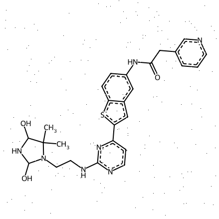 CC1(C)C(O)NC(O)N1CCNc1nccc(-c2cc3cc(NC(=O)Cc4cccnc4)ccc3s2)n1